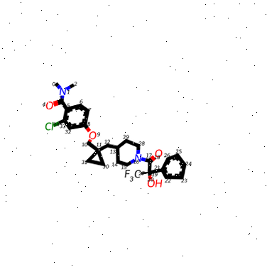 CN(C)C(=O)c1ccc(OCC2(CC3CCN(C(=O)[C@@](O)(c4ccccc4)C(F)(F)F)CC3)CC2)cc1Cl